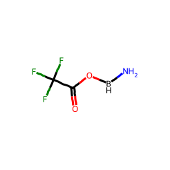 NBOC(=O)C(F)(F)F